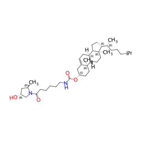 CC(C)CCC[C@@H](C)[C@H]1CCC2[C@@H]3CC=C4C[C@@H](OC(=O)NCCCCCC(=O)N5C[C@H](O)C[C@H]5C)CC[C@]4(C)[C@H]3CC[C@@]21C